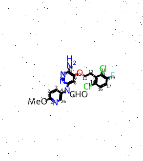 COc1ccc(N(C=O)c2cc(OCCc3c(Cl)ccc(F)c3Cl)c(N)nn2)cn1